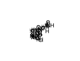 O=C(Nc1ccc(-c2cc(=O)[nH][nH]2)cc1)C(Cc1ccccc1)N1CCN(c2cc(Cl)ccc2-n2cnnn2)C(=O)C1=O